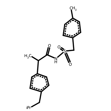 Cc1ccc(CS(=O)(=O)NC(=O)C(C)c2ccc(CC(C)C)cc2)cc1